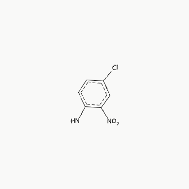 [NH]c1ccc(Cl)cc1[N+](=O)[O-]